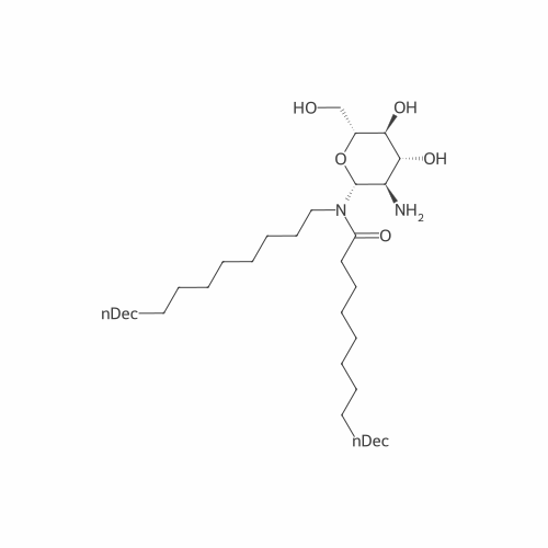 CCCCCCCCCCCCCCCCCCN(C(=O)CCCCCCCCCCCCCCCCC)[C@@H]1O[C@H](CO)[C@@H](O)[C@H](O)[C@H]1N